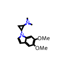 COc1cc2ccn([C@H]3CC3N(C)C)c2cc1OC